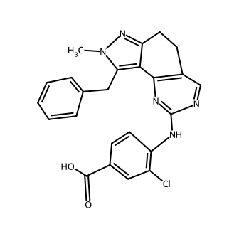 Cn1nc2c(c1Cc1ccccc1)-c1nc(Nc3ccc(C(=O)O)cc3Cl)ncc1CC2